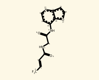 O=C(C=CC(F)(F)F)NCC(=O)Nc1ccnc2ccoc12